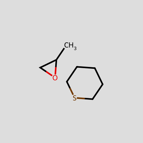 C1CCSCC1.CC1CO1